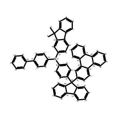 CC1(C)c2ccccc2-c2ccc(N(c3ccc(-c4ccccc4)cc3)c3ccc(C4(c5ccc6c7ccccc7c7ccccc7c6c5)c5ccccc5-c5ccccc54)cc3)cc21